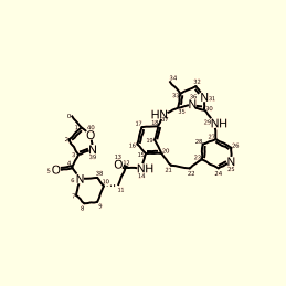 Cc1cc(C(=O)N2CCC[C@@H](CC(=O)Nc3ccc4cc3CCc3cncc(c3)Nc3ncc(C)c(n3)N4)C2)no1